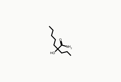 CCCCCC(O)(CCC)C(N)=O